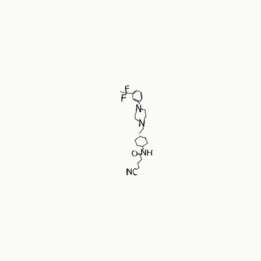 CC(F)(F)c1cccc(N2CCN(CC[C@H]3CC[C@H](NC(=O)CCCC#N)CC3)CC2)c1